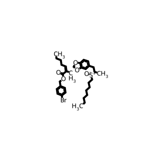 CCCC/C=C(/C)C(=O)OCc1ccc(Br)cc1.CCCCCCCC[S+]([O-])C(C)Cc1ccc2c(c1)OCO2